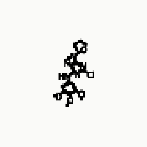 COc1cc(Nc2nc(Cl)nc3c2ncn3C2CCCO2)cc(OC)c1OC